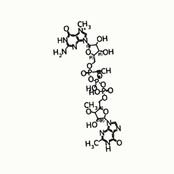 C#CP(=O)(OC[C@H]1O[C@@H](n2c[n+](C)c3c(=O)[nH]c(N)nc32)C(O)[C@H]1O)OP(=O)(O)OP(=O)(O)OC[C@H]1O[C@@H](n2cnc3c(=O)[nH]c(C)nc32)[C@@H](O)C1OC